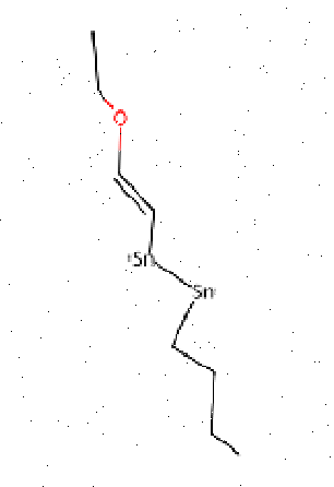 CCC[CH2][Sn][Sn][CH]=COCC